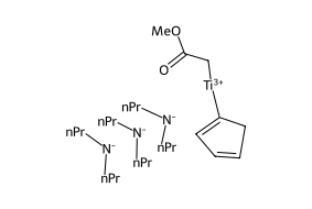 CCC[N-]CCC.CCC[N-]CCC.CCC[N-]CCC.COC(=O)[CH2][Ti+3][C]1=CC=CC1